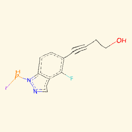 OCCC#Cc1ccc2c(cnn2PI)c1F